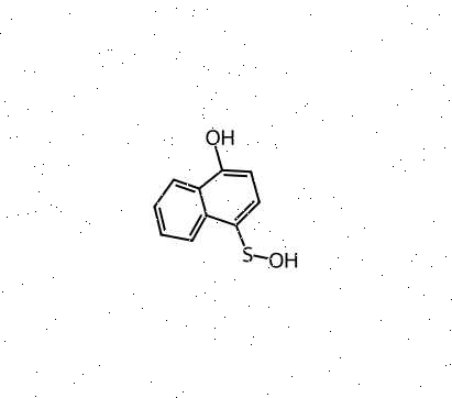 OSc1ccc(O)c2ccccc12